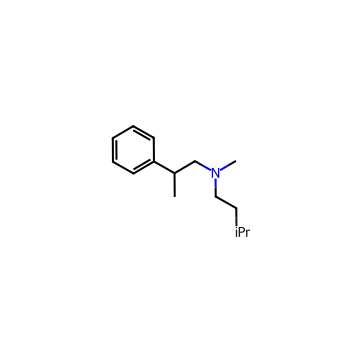 CC(C)CCN(C)CC(C)c1ccccc1